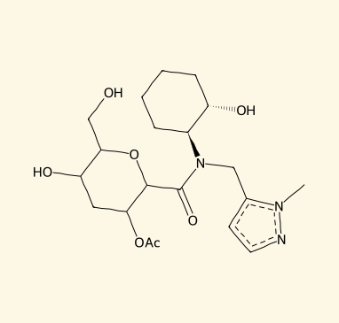 CC(=O)OC1CC(O)C(CO)OC1C(=O)N(Cc1ccnn1C)[C@H]1CCCC[C@@H]1O